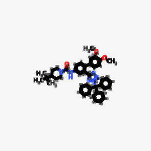 COc1ccc(-c2ccc(NC(=O)N3CCC(C(C)(C)C)CC3)cc2-c2nnn(C(c3ccccc3)(c3ccccc3)c3ccccc3)n2)cc1OC